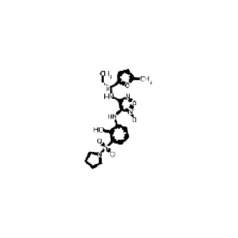 CC[C@@H](Nc1no[n+]([O-])c1Nc1cccc(S(=O)(=O)N2CCCC2)c1O)c1ccc(C)o1